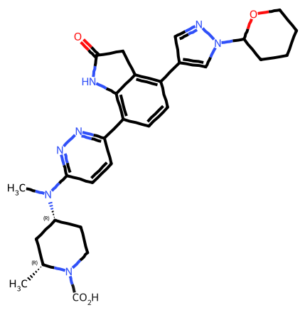 C[C@@H]1C[C@H](N(C)c2ccc(-c3ccc(-c4cnn(C5CCCCO5)c4)c4c3NC(=O)C4)nn2)CCN1C(=O)O